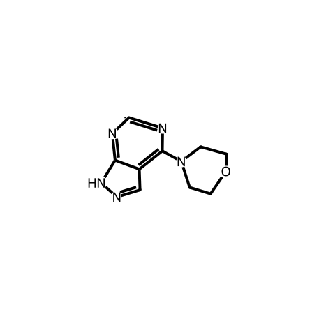 [c]1nc(N2CCOCC2)c2cn[nH]c2n1